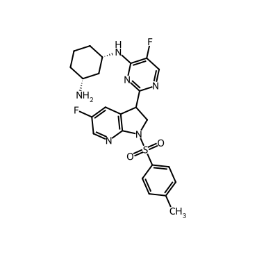 Cc1ccc(S(=O)(=O)N2CC(c3ncc(F)c(N[C@H]4CCC[C@@H](N)C4)n3)c3cc(F)cnc32)cc1